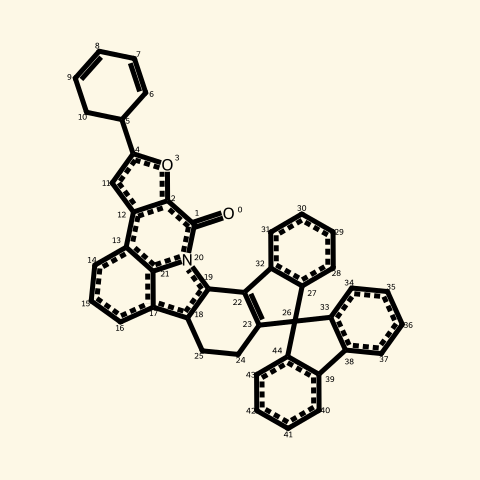 O=c1c2oc(C3C=CC=CC3)cc2c2cccc3c4c(n1c32)C1=C(CC4)C2(c3ccccc31)c1ccccc1-c1ccccc12